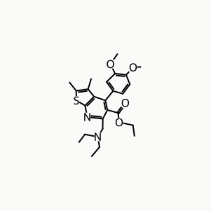 CCOC(=O)c1c(CN(CC)CC)nc2sc(C)c(C)c2c1-c1ccc(OC)c(OC)c1